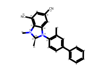 Cc1cc(-c2ccccc2)ccc1N1c2cc(C#N)cc(C#N)c2N(C)[C@@H]1C